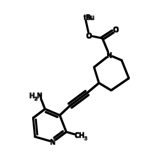 Cc1nccc(N)c1C#CC1CCCN(C(=O)OC(C)(C)C)C1